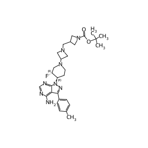 Cc1ccc(-c2nn([C@@H]3CCN(C4CN(CC5CN(C(=O)OC(C)(C)C)C5)C4)C[C@H]3F)c3ncnc(N)c23)cc1